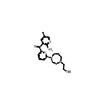 Cc1cnc(N)c(C(=O)c2cccc(N3CCCN(CCO)CC3)n2)c1